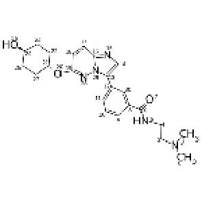 CN(C)CCNC(=O)c1cccc(-c2cnc3ccc(O[C@H]4CC[C@H](O)CC4)nn23)c1